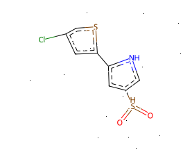 O=[SH](=O)c1c[nH]c(-c2cc(Cl)cs2)c1